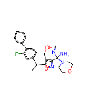 C=NC(N)(c1noc(C(C)c2ccc(-c3ccccc3)c(F)c2)c1CO)N1CCOCC1